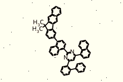 CC1(C)c2ccc(-c3ccc(-c4nc(-c5ccccc5-c5ccccc5)cc(-c5cccc6ccccc56)n4)c4ccccc34)cc2-c2cc3ccccc3cc21